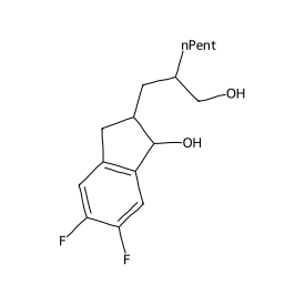 CCCCCC(CO)CC1Cc2cc(F)c(F)cc2C1O